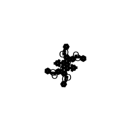 Cc1cc(C)c(-c2cc3c4c(cc5c(-c6c(C)cc(C)cc6C)cc6c7c(cc2c4c57)B2c4ccc(C(=O)OCc5ccccc5)cc4-c4cc(C(=O)OCc5ccccc5)cc-6c42)B2c4ccc(C(=O)OCc5ccccc5)cc4-c4cc(C(=O)OCc5ccccc5)cc-3c42)c(C)c1